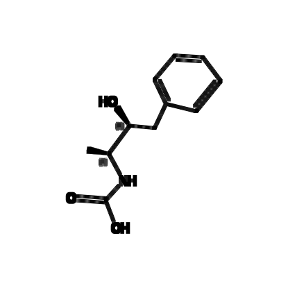 C[C@H](NC(=O)O)[C@@H](O)Cc1ccccc1